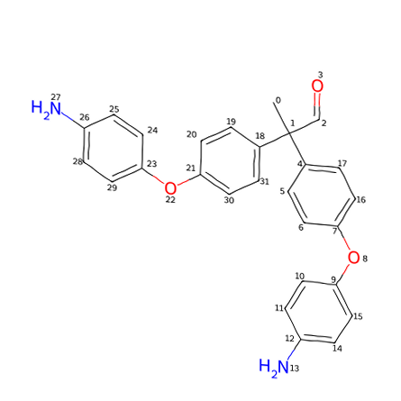 CC(C=O)(c1ccc(Oc2ccc(N)cc2)cc1)c1ccc(Oc2ccc(N)cc2)cc1